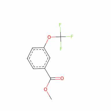 COC(=O)c1cccc(OC(F)(F)F)c1